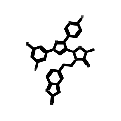 C[C@@H]1O[C@H](c2cn(-c3cc(F)cc(F)c3)nc2-c2ccc(F)nc2)N(CCc2ccc3c(c2)=CC(=O)N=3)C1=O